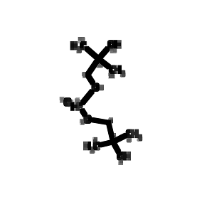 CC(C)(O)CO[PH](=O)OCC(C)(C)O